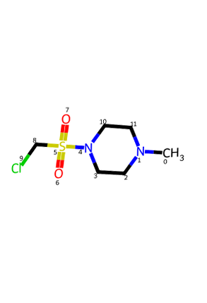 CN1CCN(S(=O)(=O)CCl)CC1